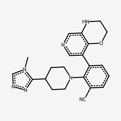 Cn1cnnc1C1CCN(c2c(C#N)cccc2-c2cncc3c2OCCN3)CC1